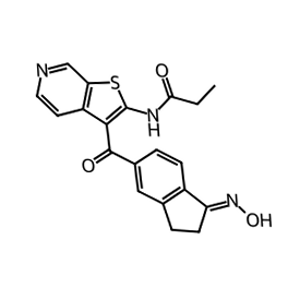 CCC(=O)Nc1sc2cnccc2c1C(=O)c1ccc2c(c1)CC/C2=N\O